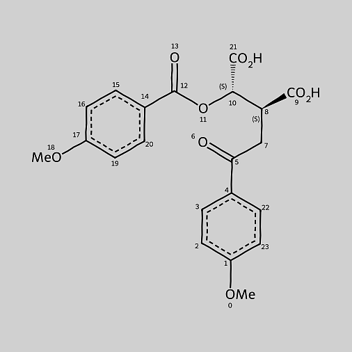 COc1ccc(C(=O)C[C@H](C(=O)O)[C@H](OC(=O)c2ccc(OC)cc2)C(=O)O)cc1